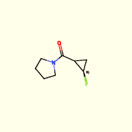 O=C(C1C[C@H]1F)N1CCCC1